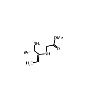 CC=C(NCC(=O)OC)[C@@H](N)C(C)C